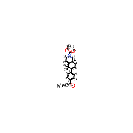 COC(=O)c1ccc(C2=CCC3(C)CN(C(=O)OC(C)(C)C)CC=C3C2(C)C)cc1